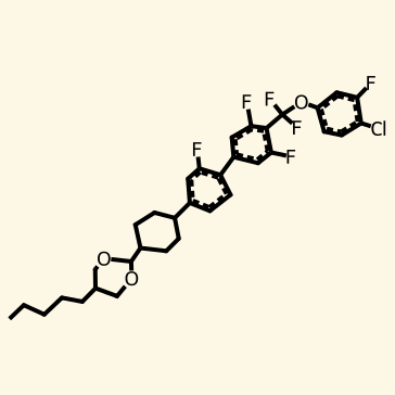 CCCCCC1COC(C2CCC(c3ccc(-c4cc(F)c(C(F)(F)Oc5ccc(Cl)c(F)c5)c(F)c4)c(F)c3)CC2)OC1